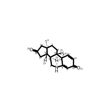 C[C@]12CC[C@H]3[C@@H](CNC4=CC(=O)C=C[C@@]43C)[C@@H]1CC(=O)C2